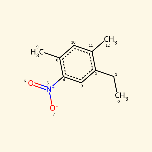 CCc1cc([N+](=O)[O-])c(C)cc1C